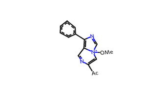 CO[N+]12C=NC(c3ccccc3)=C1C=NC(C(C)=O)=C2